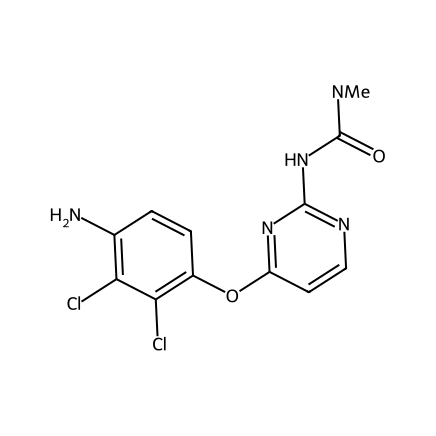 CNC(=O)Nc1nccc(Oc2ccc(N)c(Cl)c2Cl)n1